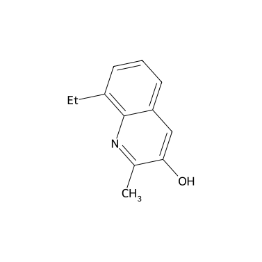 CCc1cccc2cc(O)c(C)nc12